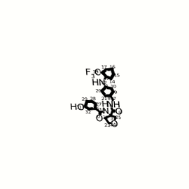 O=C(N[C@@]1(C(=O)NCc2ccc(Nc3ccccc3C(F)(F)F)cc2)CCOC1)c1cccc(O)c1